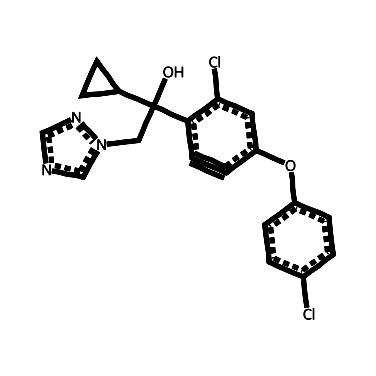 OC(Cn1cncn1)(c1c#cc(Oc2ccc(Cl)cc2)cc1Cl)C1CC1